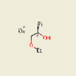 CCOC([C@H](O)C(C)C)[C@H](C)CC